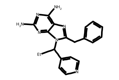 CCC(c1ccncc1)n1c(Cc2ccccc2)nc2c(N)nc(N)nc21